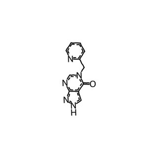 O=c1c2c[nH]nc2ncn1Cc1ccccn1